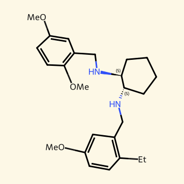 CCc1ccc(OC)cc1CN[C@H]1CCCC[C@@H]1NCc1cc(OC)ccc1OC